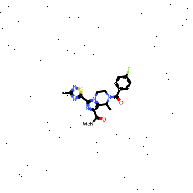 CNC(=O)c1nc(-c2nc(C)ns2)n2c1C(C)N(C(=O)c1ccc(F)cc1)CC2